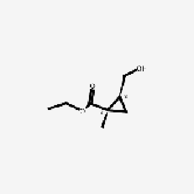 CCOC(=O)[C@@]1(C)C[C@@H]1CO